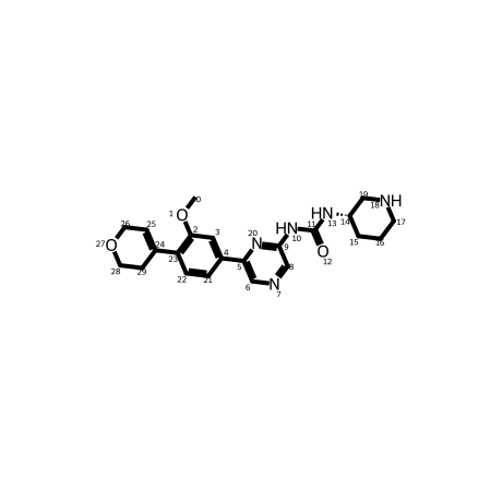 COc1cc(-c2cncc(NC(=O)N[C@H]3CCCNC3)n2)ccc1C1=CCOCC1